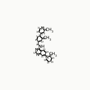 Cc1cc(-c2ccc(CNc3ncnc4cc(N5C=CC=CC5C)ccc34)cc2C)ccn1